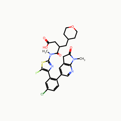 CN(C(=O)C(CC(=O)O)CC1CCOCC1)c1nc(-c2cc(Cl)ccc2-c2cnc3c(c2)CC(=O)N3C)c(F)s1